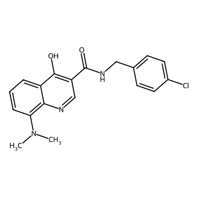 CN(C)c1cccc2c(O)c(C(=O)NCc3ccc(Cl)cc3)cnc12